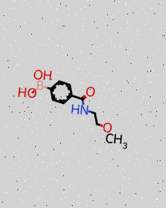 COCCNC(=O)c1ccc(B(O)O)cc1